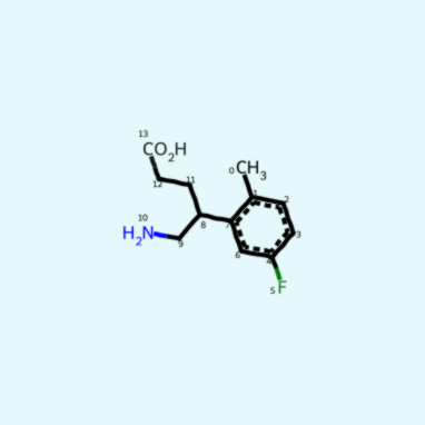 Cc1ccc(F)cc1C(CN)CCC(=O)O